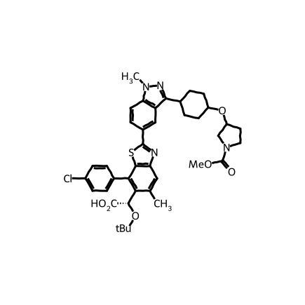 COC(=O)N1CCC(OC2CCC(c3nn(C)c4ccc(-c5nc6cc(C)c([C@H](OC(C)(C)C)C(=O)O)c(-c7ccc(Cl)cc7)c6s5)cc34)CC2)C1